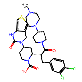 CN1CCN(C2CCN(C(=O)C(Cc3ccc(Cl)c(Cl)c3)[C@H]3CC(N4Cc5cscc5NC4=O)CCN3C(=O)O)CC2)CC1